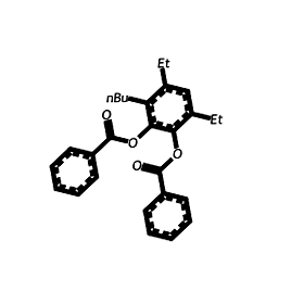 CCCCc1c(CC)cc(CC)c(OC(=O)c2ccccc2)c1OC(=O)c1ccccc1